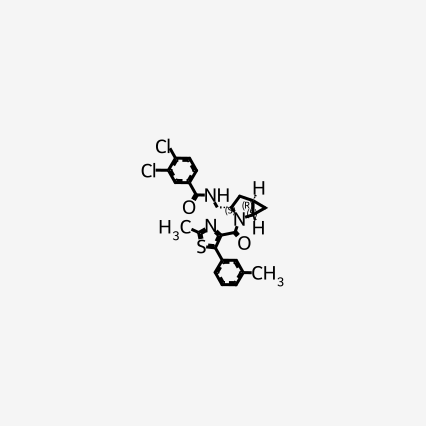 Cc1cccc(-c2sc(C)nc2C(=O)N2[C@H](CNC(=O)c3ccc(Cl)c(Cl)c3)C[C@H]3C[C@@H]32)c1